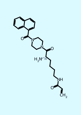 C=CC(=O)NCCCC[C@H](N)C(=O)N1CCN(C(=O)c2cccc3ccccc23)CC1